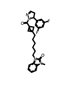 Cn1c(=O)n(CCCCCCC23CC(C(=O)N4N=CCC4c4cc(F)cc(F)c4)(C2)C3)c2ccccc21